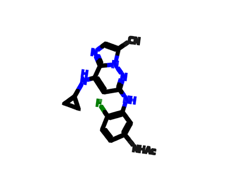 CC(=O)Nc1ccc(F)c(Nc2cc(NC3CC3)c3ncc(C#N)n3n2)c1